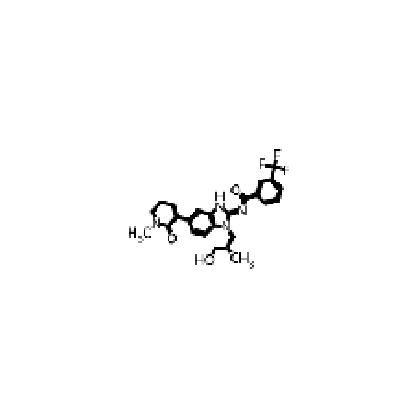 CC(CO)Cn1/c(=N/C(=O)c2cccc(C(F)(F)F)c2)[nH]c2cc(C3CCCN(C)C3=O)ccc21